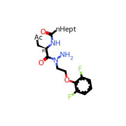 CCCCCCCC(=O)N[C@H](CC(C)=O)C(=O)N(N)CCOc1c(F)cccc1F